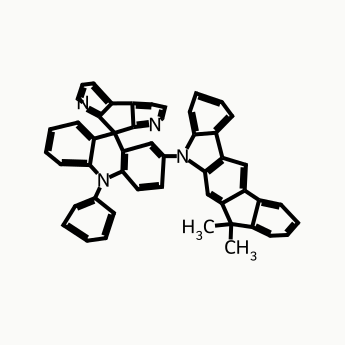 CC1(C)c2ccccc2-c2cc3c4ccccc4n(-c4ccc5c(c4)C4(c6ccccc6N5c5ccccc5)c5ncccc5-c5cccnc54)c3cc21